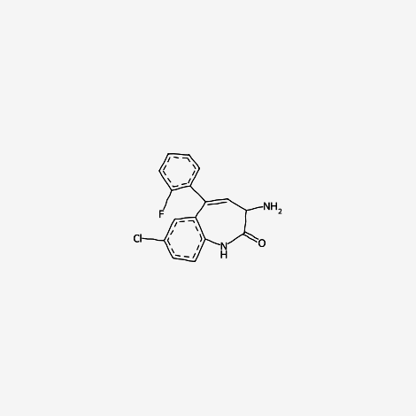 NC1C=C(c2ccccc2F)c2cc(Cl)ccc2NC1=O